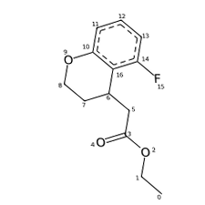 CCOC(=O)CC1CCOc2cccc(F)c21